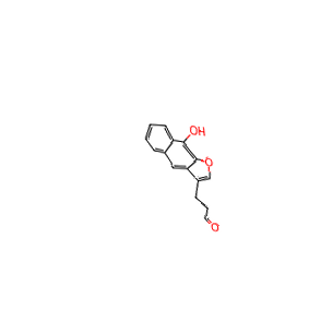 O=CCCc1coc2c(O)c3ccccc3cc12